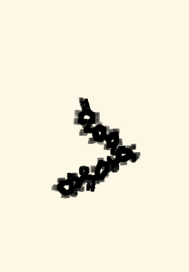 O=C(N[C@H]1CC[C@H](NC(=O)c2cc(F)cnc2Oc2cccc(-c3ccc(CN4CCNCC4)cc3)c2)CC1)c1cn2c(n1)CCCC2